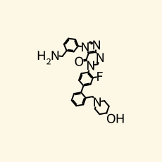 NCc1cccc(-n2cnc3ncn(-c4ccc(-c5ccccc5CN5CCC(O)CC5)cc4F)c(=O)c32)c1